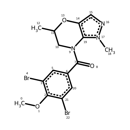 COc1c(Br)cc(C(=O)N2CC(C)Oc3cnn(C)c32)cc1Br